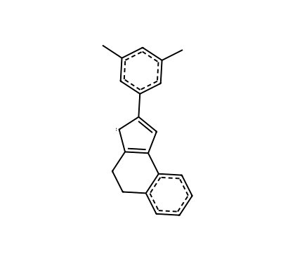 Cc1cc(C)cc(C2=CC3=C([C]2)CCc2ccccc23)c1